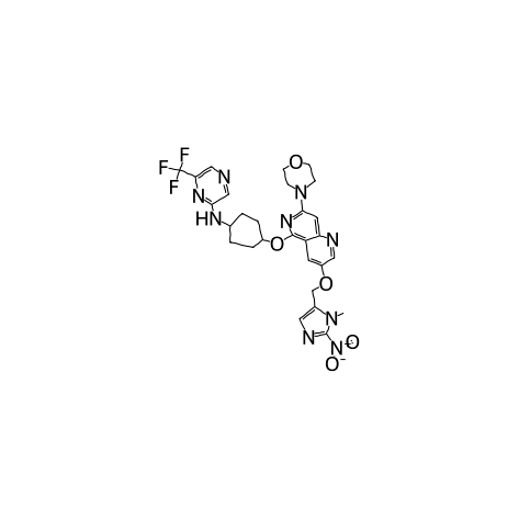 Cn1c(COc2cnc3cc(N4CCOCC4)nc(OC4CCC(Nc5cncc(C(F)(F)F)n5)CC4)c3c2)cnc1[N+](=O)[O-]